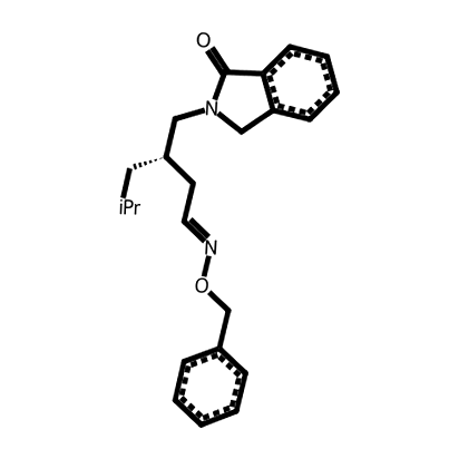 CC(C)C[C@@H](C/C=N/OCc1ccccc1)CN1Cc2ccccc2C1=O